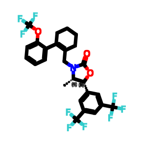 C[C@H]1[C@@H](c2cc(C(F)(F)F)cc(C(F)(F)F)c2)OC(=O)N1CC1=C(c2ccccc2OC(F)(F)F)CCCC1